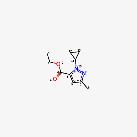 CCOC(=O)c1cc(C)nn1C1CC1